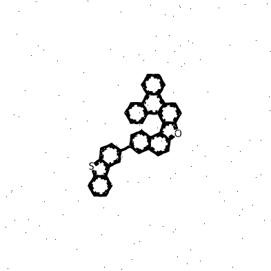 c1ccc2c(c1)sc1ccc(-c3ccc4c(ccc5oc6ccc7c8ccccc8c8ccccc8c7c6c54)c3)cc12